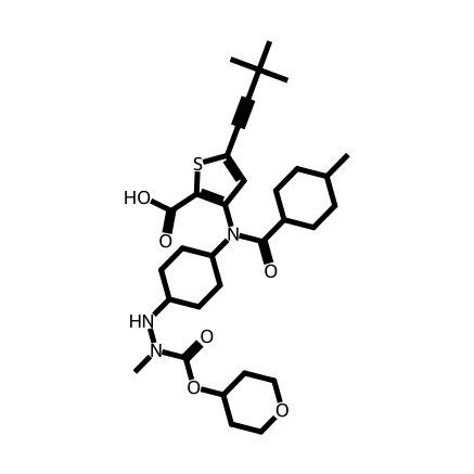 CC1CCC(C(=O)N(c2cc(C#CC(C)(C)C)sc2C(=O)O)C2CCC(NN(C)C(=O)OC3CCOCC3)CC2)CC1